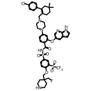 CC1(C)CCC(CN2CCN(c3ccc(C(=O)NS(=O)(=O)c4ccc(OCC5(CF)CCNCC5)c(S(=O)(=O)C(F)(F)F)c4)c(Oc4cnc5[nH]ccc5c4)c3)CC2)=C(c2ccc(Cl)cc2)C1